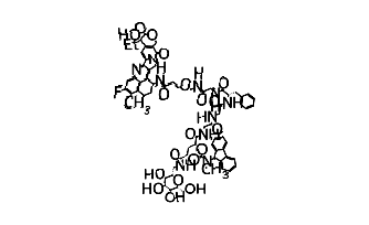 CC[C@@]1(O)C(=O)OCc2c1cc1n(c2=O)Cc2c-1nc1cc(F)c(C)c3c1c2[C@@H](NC(=O)CCOCNC(=O)CNC(=O)[C@H](Cc1ccccc1)NC(=O)CNC(=O)CNC(=O)[C@H](CCC(=O)NC[C@@H]1O[C@H](CO)[C@@H](O)[C@H](O)[C@H]1O)OC(=O)N(C)C1c2ccccc2-c2ccccc21)CC3